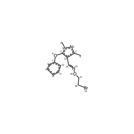 Cc1nn(C)c(Oc2ccccc2)c1C=NOCCBr